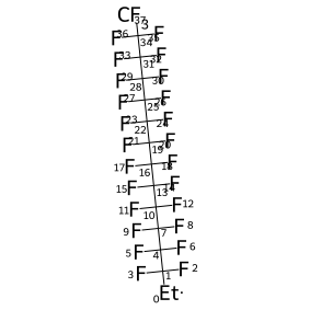 C[CH]C(F)(F)C(F)(F)C(F)(F)C(F)(F)C(F)(F)C(F)(F)C(F)(F)C(F)(F)C(F)(F)C(F)(F)C(F)(F)C(F)(F)C(F)(F)F